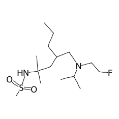 CCCC(CN(CCF)C(C)C)CC(C)(C)NS(C)(=O)=O